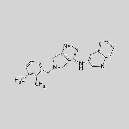 Cc1cccc(CN2Cc3ncnc(Nc4cnc5ccccc5c4)c3C2)c1C